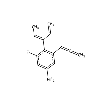 C=C=Cc1cc(N)cc(F)c1/C(C=C)=C/C